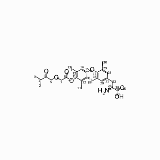 CC(C)C(=O)COCC(=O)Oc1c(I)cc(Oc2c(I)cc(C[C@H](N)C(=O)O)cc2I)cc1I